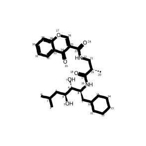 CC(C)C[C@H](O)[C@H](O)[C@H](CC1CCCCC1)NC(=O)[C@@H](C)CNC(=O)c1coc2ccccc2c1=O